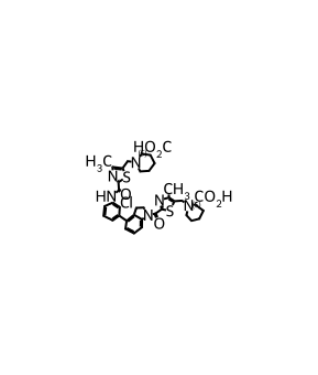 Cc1nc(C(=O)Nc2cccc(-c3cccc4c3CCN4C(=O)c3nc(C)c(CN4CCCC[C@H]4C(=O)O)s3)c2Cl)sc1CN1CCCC[C@H]1C(=O)O